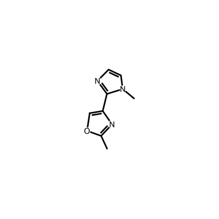 Cc1nc(-c2nccn2C)co1